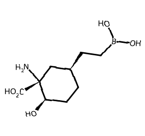 N[C@]1(C(=O)O)C[C@@H](CCB(O)O)CC[C@H]1O